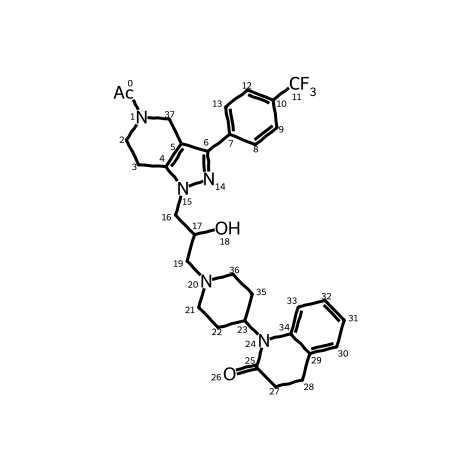 CC(=O)N1CCc2c(c(-c3ccc(C(F)(F)F)cc3)nn2CC(O)CN2CCC(N3C(=O)CCc4ccccc43)CC2)C1